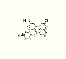 NC1CCC(N(Cc2ccc(Br)cc2)c2ccnc3cc(Cl)ccc23)CC1